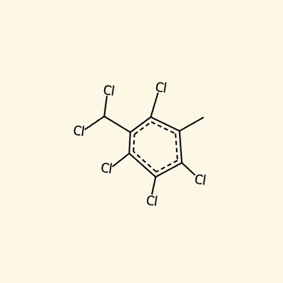 Cc1c(Cl)c(Cl)c(Cl)c(C(Cl)Cl)c1Cl